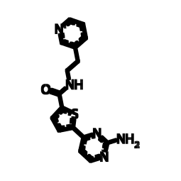 Nc1nccc(-c2ccc(C(=O)NCCc3cccnc3)s2)n1